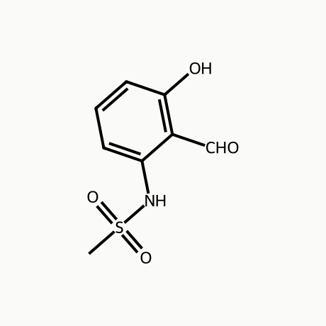 CS(=O)(=O)Nc1cccc(O)c1C=O